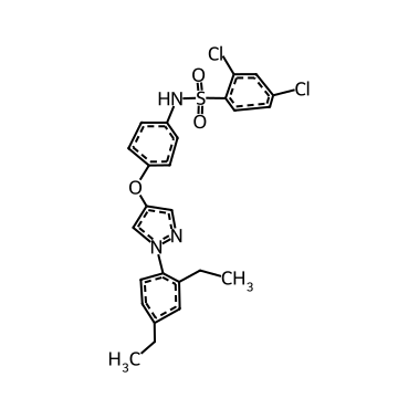 CCc1ccc(-n2cc(Oc3ccc(NS(=O)(=O)c4ccc(Cl)cc4Cl)cc3)cn2)c(CC)c1